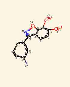 Oc1ccc2c(-c3cccc(I)c3)noc2c1O